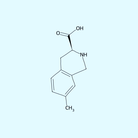 Cc1ccc2c(c1)CN[C@H](C(=O)O)C2